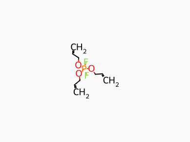 C=CCOP(F)(F)(OCC=C)OCC=C